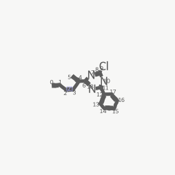 C=C/C=C\C(=C)c1nc(Cl)nc(-c2ccccc2)n1